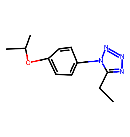 CCc1nnnn1-c1ccc(OC(C)C)cc1